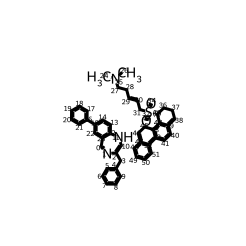 C1=NC(Cc2ccccc2)=CNc2ccc(-c3ccccc3)cc21.CN(C)CCC=CCS(=O)(=O)[C@@H]1CCC=c2ccc3c(c21)CC=c1ccccc1=3